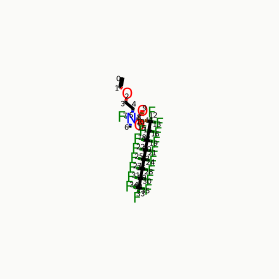 C=COCC[N+](C)(F)S(=O)(=O)C(F)(F)C(F)(F)C(F)(F)C(F)(F)C(F)(F)C(F)(F)C(F)(F)C(F)(F)F